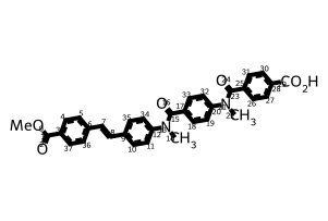 COC(=O)c1ccc(/C=C/c2ccc(N(C)C(=O)c3ccc(N(C)C(=O)c4ccc(C(=O)O)cc4)cc3)cc2)cc1